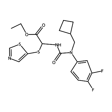 CCOC(=O)C(NC(=O)N(CC1CCC1)c1ccc(F)c(F)c1)Sc1cncs1